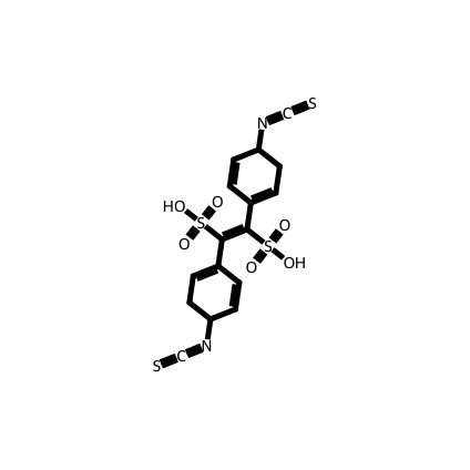 O=S(=O)(O)C(C1=CCC(N=C=S)C=C1)=C(C1=CCC(N=C=S)C=C1)S(=O)(=O)O